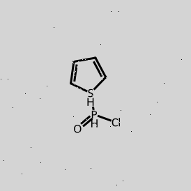 O=[PH](Cl)[SH]1C=CC=C1